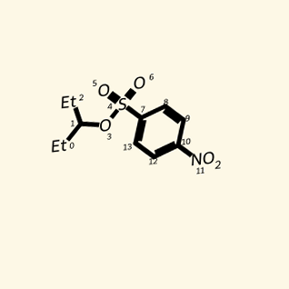 CCC(CC)OS(=O)(=O)c1ccc([N+](=O)[O-])cc1